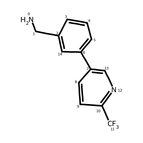 NCc1cccc(-c2ccc(C(F)(F)F)nc2)c1